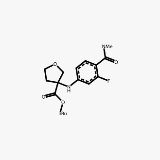 CCCCOC(=O)C1(Nc2ccc(C(=O)NC)c(F)c2)CCOC1